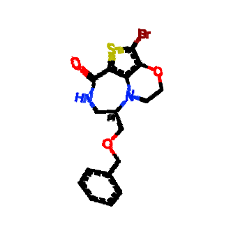 O=C1NC[C@H](COCc2ccccc2)N2CCOc3c(Br)sc1c32